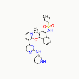 CCCS(=O)(=O)Nc1cc(C)c(Oc2ncccc2-c2ccnc(N[C@H]3CCCNC3)n2)c2ccccc12